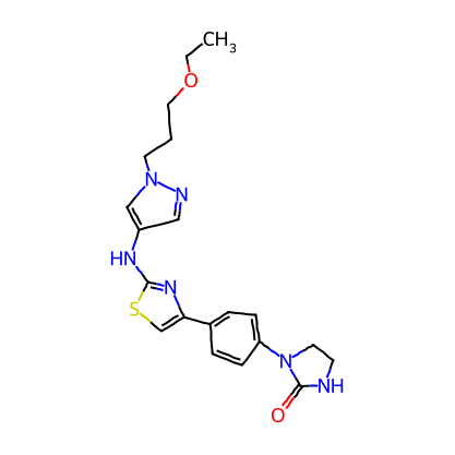 CCOCCCn1cc(Nc2nc(-c3ccc(N4CCNC4=O)cc3)cs2)cn1